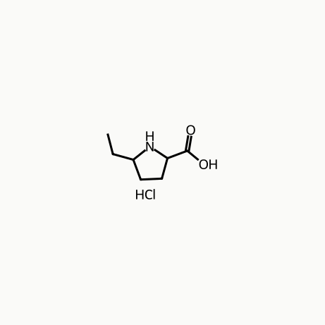 CCC1CCC(C(=O)O)N1.Cl